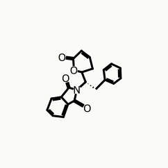 O=C1C=CCC([C@H](Cc2ccccc2)N2C(=O)c3ccccc3C2=O)O1